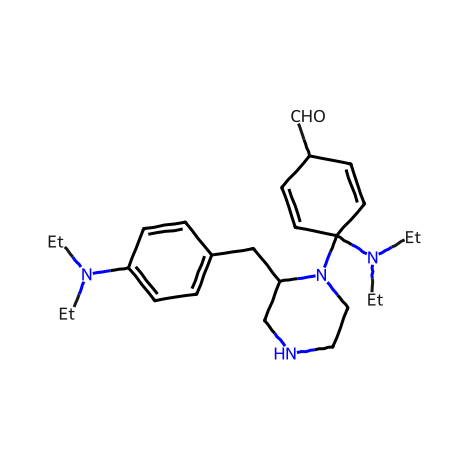 CCN(CC)c1ccc(CC2CNCCN2C2(N(CC)CC)C=CC(C=O)C=C2)cc1